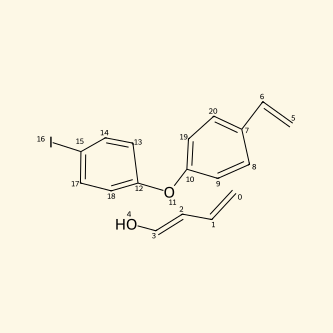 C=CC=CO.C=Cc1ccc(Oc2ccc(I)cc2)cc1